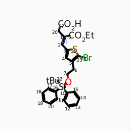 CCOC(=O)/C(=C\c1cc(CCO[Si](c2ccccc2)(c2ccccc2)C(C)(C)C)c(Br)s1)CC(=O)O